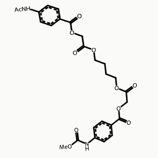 COC(=O)Nc1ccc(C(=O)OCC(=O)OCCCCOC(=O)COC(=O)c2ccc(NC(C)=O)cc2)cc1